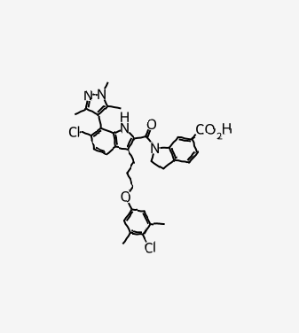 Cc1cc(OCCCc2c(C(=O)N3CCc4ccc(C(=O)O)cc43)[nH]c3c(-c4c(C)nn(C)c4C)c(Cl)ccc23)cc(C)c1Cl